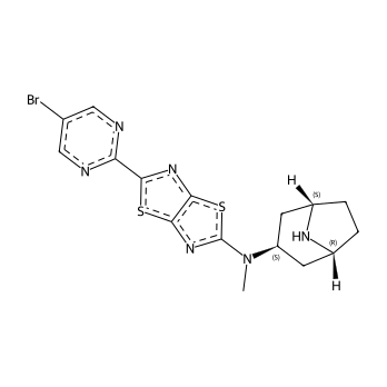 CN(c1nc2sc(-c3ncc(Br)cn3)nc2s1)[C@@H]1C[C@H]2CC[C@@H](C1)N2